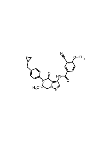 COc1ccc(C(=O)Nc2cnn3c2C(=O)N(c2ccc(CC4CC4)cc2)[C@@H](C)C3)cc1C#N